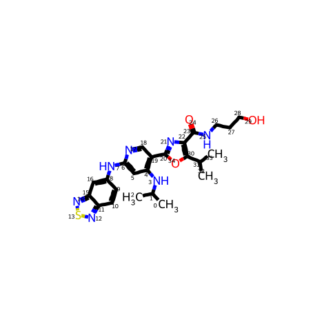 CC(C)Nc1cc(Nc2ccc3nsnc3c2)ncc1-c1nc(C(=O)NCCCO)c(C(C)C)o1